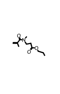 C=C(C)C(=O)N(C)CCC(=O)OCCC